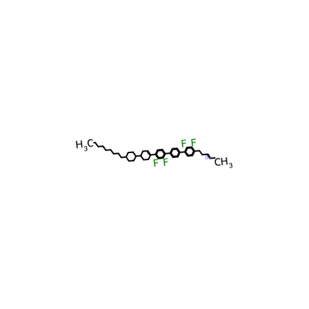 CC/C=C/CCc1ccc(-c2ccc(-c3ccc(C4=CCC(C5CCC(CCCCCCCCC)CC5)CC4)c(F)c3F)cc2)c(F)c1F